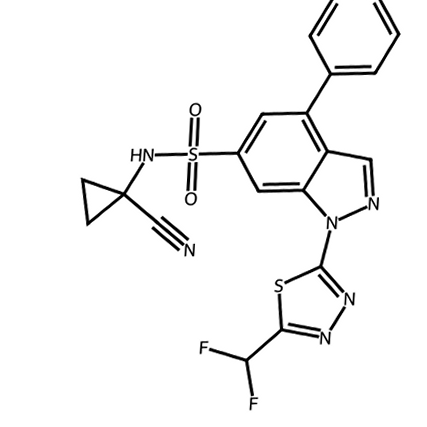 N#CC1(NS(=O)(=O)c2cc(-c3ccccc3)c3cnn(-c4nnc(C(F)F)s4)c3c2)CC1